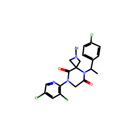 CC(=O)N1CC2(C1)C(=O)N(c1ncc(Cl)cc1F)CC(=O)N2C(C)c1ccc(Cl)cc1